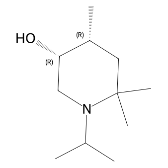 CC(C)N1C[C@H](O)[C@H](C)CC1(C)C